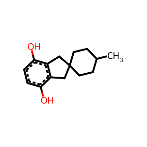 CC1CCC2(CC1)Cc1c(O)ccc(O)c1C2